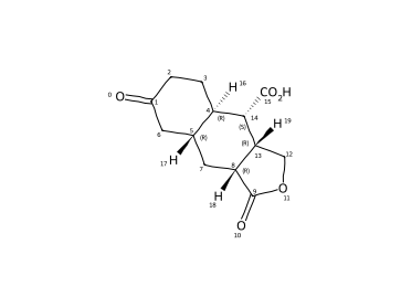 O=C1CC[C@@H]2[C@@H](C1)C[C@H]1C(=O)OC[C@H]1[C@H]2C(=O)O